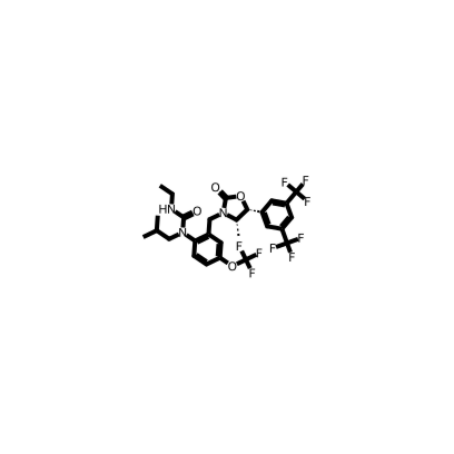 CCNC(=O)N(CC(C)C)c1ccc(OC(F)(F)F)cc1CN1C(=O)O[C@H](c2cc(C(F)(F)F)cc(C(F)(F)F)c2)[C@@H]1C